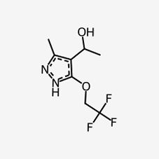 Cc1n[nH]c(OCC(F)(F)F)c1C(C)O